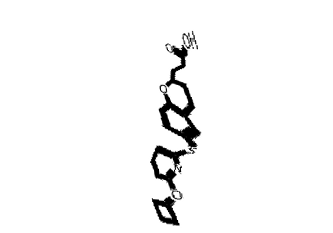 O=C(O)CCC1CCc2cc(Sc3cccc(OC4CCC4)n3)ccc2O1